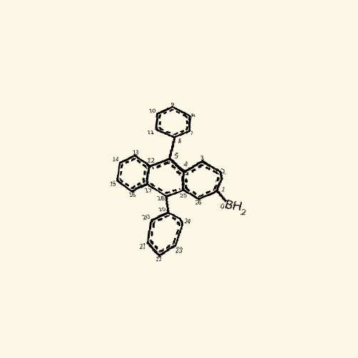 Bc1ccc2c(-c3ccccc3)c3ccccc3c(-c3ccccc3)c2c1